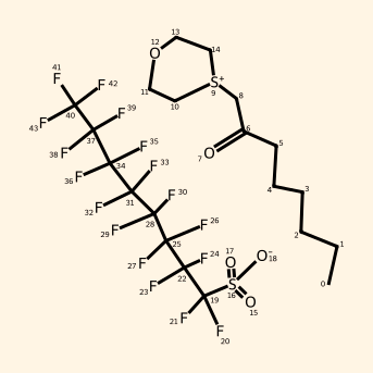 CCCCCCC(=O)C[S+]1CCOCC1.O=S(=O)([O-])C(F)(F)C(F)(F)C(F)(F)C(F)(F)C(F)(F)C(F)(F)C(F)(F)C(F)(F)F